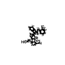 N#Cc1cnccc1Nc1nc(-c2nn(Cc3ccccc3F)c3c2CCC3)ncc1OCCO